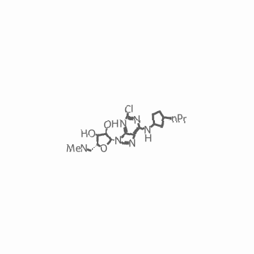 CCCC1CCC(Nc2nc(Cl)nc3c2ncn3[C@@H]2O[C@H](CNC)[C@@H](O)[C@H]2O)C1